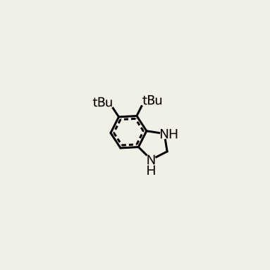 CC(C)(C)c1ccc2c(c1C(C)(C)C)NCN2